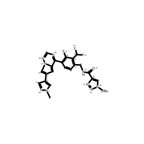 Cn1cc(-c2cc3c(-c4ccc(CNC(=O)c5cn(C(C)(C)C)nn5)c(C(F)F)c4F)ncnn3c2)cn1